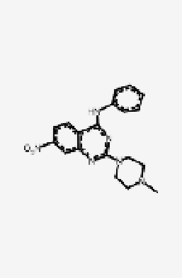 CN1CCN(c2nc(Nc3ccccc3)c3ccc([N+](=O)[O-])cc3n2)CC1